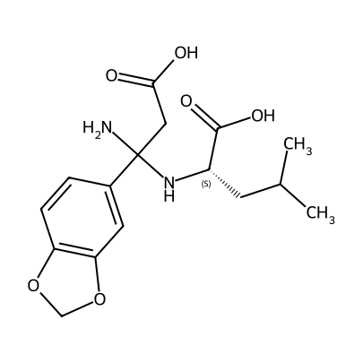 CC(C)C[C@H](NC(N)(CC(=O)O)c1ccc2c(c1)OCO2)C(=O)O